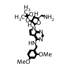 COc1ccc(CNc2ncnc3c2ccn3[C@@H]2O[C@H](CN)[C@H]3OC(C)(C)O[C@H]32)c(OC)c1